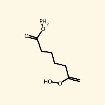 C=C(CCCCC(=O)OP)OO